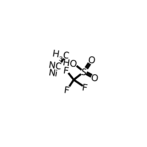 CC#N.O=S(=O)(O)C(F)(F)F.[Ni]